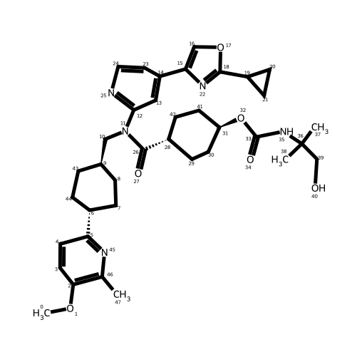 COc1ccc([C@H]2CC[C@H](CN(c3cc(-c4coc(C5CC5)n4)ccn3)C(=O)[C@H]3CC[C@H](OC(=O)NC(C)(C)CO)CC3)CC2)nc1C